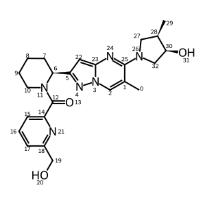 Cc1cn2nc([C@@H]3CCCCN3C(=O)c3cccc(CO)n3)cc2nc1N1C[C@@H](C)[C@@H](O)C1